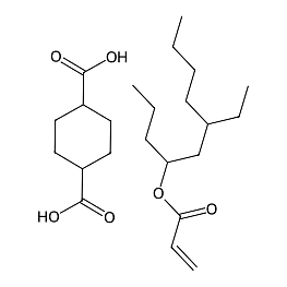 C=CC(=O)OC(CCC)CC(CC)CCCC.O=C(O)C1CCC(C(=O)O)CC1